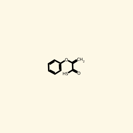 C=C(Oc1ccccc1)C(=O)S